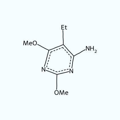 CCc1c(N)nc(OC)nc1OC